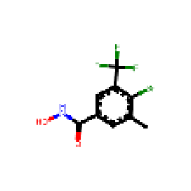 Cc1cc(C(=O)NO)cc(C(F)(F)F)c1Br